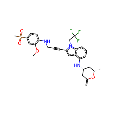 C=C1C[C@H](Nc2cccc3c2cc(C#CCNc2ccc(S(C)(=O)=O)cc2OC)n3CC(F)(F)F)C[C@H](C)O1